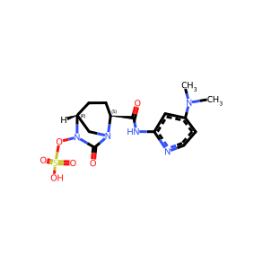 CN(C)c1ccnc(NC(=O)[C@@H]2CC[C@@H]3CN2C(=O)N3OS(=O)(=O)O)c1